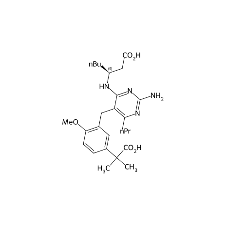 CCCC[C@@H](CC(=O)O)Nc1nc(N)nc(CCC)c1Cc1cc(C(C)(C)C(=O)O)ccc1OC